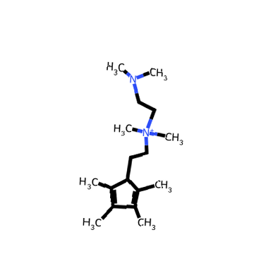 CC1=C(C)C(CC[N+](C)(C)CCN(C)C)C(C)=C1C